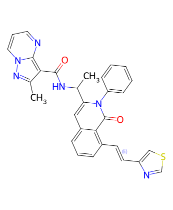 Cc1nn2cccnc2c1C(=O)NC(C)c1cc2cccc(/C=C/c3cscn3)c2c(=O)n1-c1ccccc1